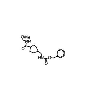 COCNC(=O)C1CCC(CNC(=O)OCc2ccccc2)CC1